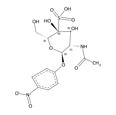 CC(=O)N[C@@H]1[C@@H](Oc2ccc([N+](=O)[O-])cc2)O[C@H](CO)[C@](O)(S(=O)(=O)O)[C@@H]1O